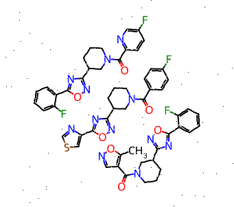 Cc1oncc1C(=O)N1CCCC(c2noc(-c3ccccc3F)n2)C1.O=C(c1ccc(F)cc1)N1CCCC(c2noc(-c3cscn3)n2)C1.O=C(c1ccc(F)cn1)N1CCCC(c2noc(-c3ccccc3F)n2)C1